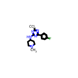 CN1CCC(Nc2nc(-c3ccc(F)cc3)nc(C(Cl)(Cl)Cl)n2)CC1